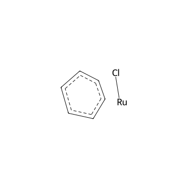 [Cl][Ru].c1ccccc1